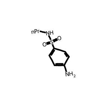 CCCNS(=O)(=O)c1ccc(N)cc1